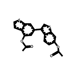 CC(=O)Oc1ccc2c(-c3cc(OC(C)=O)c4ccsc4c3)csc2c1